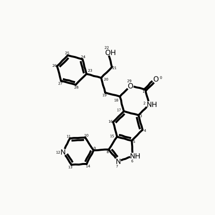 O=C1Nc2cc3[nH]nc(-c4ccncc4)c3cc2C(CC(CO)c2ccccc2)O1